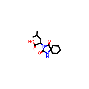 CC(C)C[C@H](C(=O)O)N1C(=O)NC2(CCCCC2)C1=O